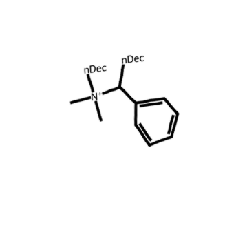 CCCCCCCCCCC(c1ccccc1)[N+](C)(C)CCCCCCCCCC